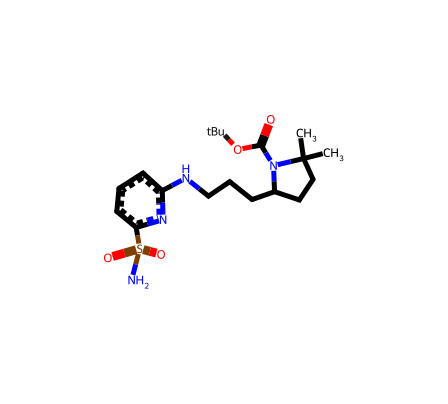 CC(C)(C)OC(=O)N1C(CCCNc2cccc(S(N)(=O)=O)n2)CCC1(C)C